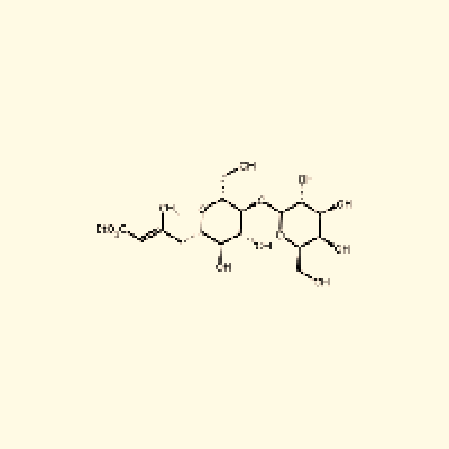 CCOC(=O)/C=C(\C)C[C@@H]1O[C@H](CO)[C@@H](OC2O[C@H](CO)[C@H](O)[C@H](O)[C@H]2O)[C@H](O)[C@H]1O